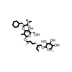 CC1C(O[C@@H](CC2CCCCC2)C(=O)N(C)C)[C@@H](O)[C@H](CO)O[C@H]1O[C@@H](C)CCC[C@@H](CI)COC1O[C@@H](C)C(O)[C@H](O)[C@@H]1O